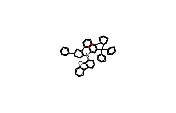 c1ccc(-c2ccc(N(c3ccc4c(c3)C(c3ccccc3)(c3ccccc3)c3ccccc3-4)c3cccc4c3oc3ccccc34)c(-c3ccccc3)c2)cc1